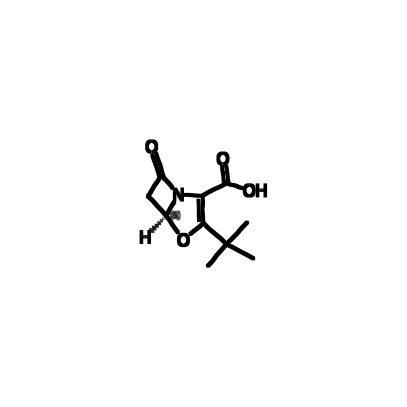 CC(C)(C)C1=C(C(=O)O)N2C(=O)C[C@@H]2O1